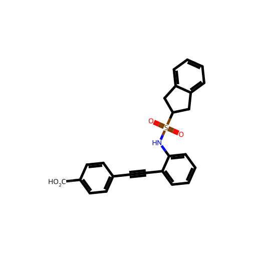 O=C(O)c1ccc(C#Cc2ccccc2NS(=O)(=O)C2Cc3ccccc3C2)cc1